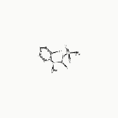 CO[C@@H](c1ccccc1I)[C@H](C)OS(N)(=O)=O